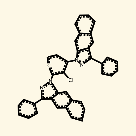 Clc1c(-n2nc(-c3ccccc3)c3cc4ccccc4cc32)cccc1-n1nc(-c2ccccc2)c2cc3ccccc3cc21